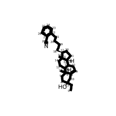 CC[C@]1(O)CCC2(C)C(=CCC3[C@@H]2CCC2(C)[C@@H](CCCCc4ccccc4C#N)CC[C@@H]32)C1